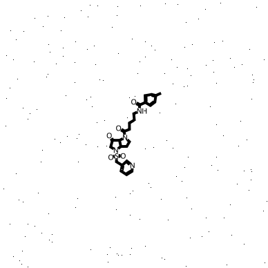 Cc1ccc(C(=O)NCCCCC(=O)N2CCC3C2C(=O)CN3S(=O)(=O)Cc2cccnc2)cc1